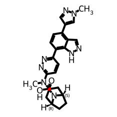 CN(c1ccc(-c2ccc(-c3cnn(C)c3)c3cn[nH]c23)nn1)C1C[C@H]2CC[C@@H](C1)N2C(=O)O